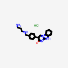 Cl.NCCCNCc1ccc(-c2cn3c(nc2=O)[nH]c2ccccc23)cc1